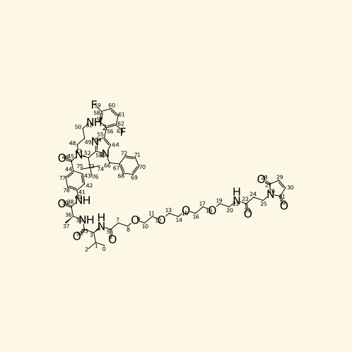 CC(C)[C@H](NC(=O)CCOCCOCCOCCOCCNC(=O)CCN1C(=O)C=CC1=O)C(=O)N[C@@H](C)C(=O)Nc1ccc(C(=O)N(CCCN)[C@@H](c2nc(-c3cc(F)ccc3F)cn2Cc2ccccc2)C(C)(C)C)cc1